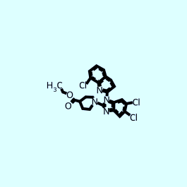 CCOC(=O)C1CCN(c2nc3cc(Cl)c(Cl)cc3n2-c2ccc3cccc(Cl)c3n2)CC1